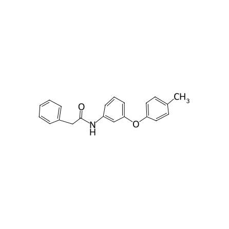 Cc1ccc(Oc2cccc(NC(=O)Cc3ccccc3)c2)cc1